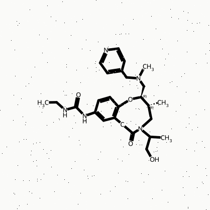 CCNC(=O)Nc1ccc2c(c1)CC(=O)N(C(C)CO)C[C@@H](C)[C@H](CN(C)Cc1ccncc1)O2